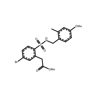 COC(=O)Cc1cc(Br)ccc1S(=O)(=O)NCc1ccc(OC)cc1C